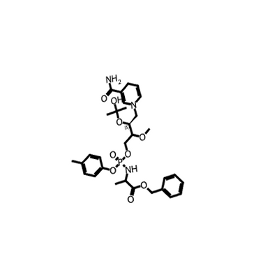 COC(COP(=O)(NC(C)C(=O)OCc1ccccc1)Oc1ccc(C)cc1)[C@H](CN1C=CCC(C(N)=O)=C1)OC(C)(C)O